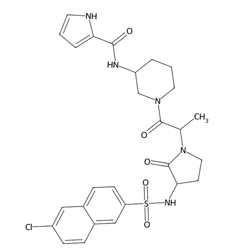 CC(C(=O)N1CCCC(NC(=O)c2ccc[nH]2)C1)N1CCC(NS(=O)(=O)c2ccc3cc(Cl)ccc3c2)C1=O